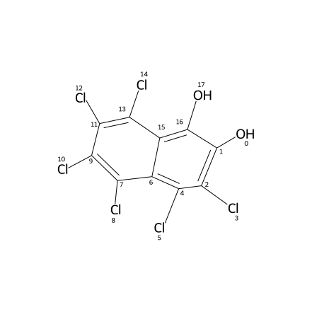 Oc1c(Cl)c(Cl)c2c(Cl)c(Cl)c(Cl)c(Cl)c2c1O